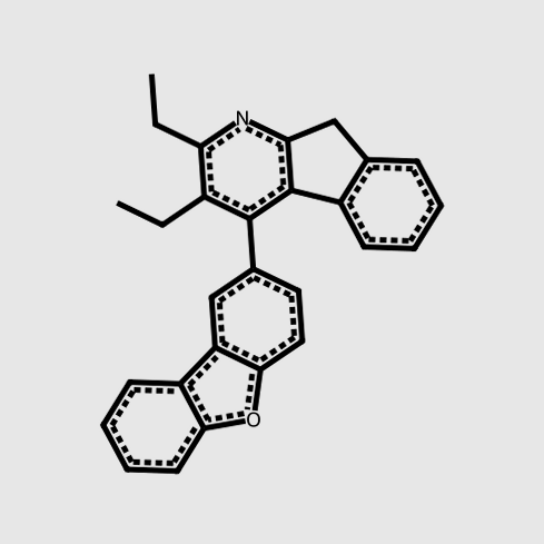 CCc1nc2c(c(-c3ccc4oc5ccccc5c4c3)c1CC)-c1ccccc1C2